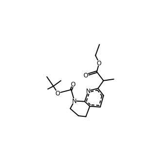 CCOC(=O)C(C)c1ccc2c(n1)N(C(=O)OC(C)(C)C)CCC2